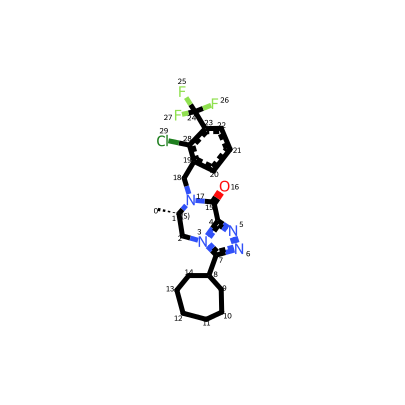 C[C@H]1Cn2c(nnc2C2CCCCCC2)C(=O)N1Cc1cccc(C(F)(F)F)c1Cl